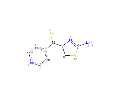 NC1=NC(C(S)c2ccncc2)CS1